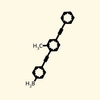 Bc1ccc(C#Cc2ccc(C#Cc3ccccc3)cc2C)cc1